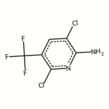 Nc1nc(Cl)c(C(F)(F)F)cc1Cl